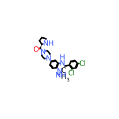 C[C@@H](Nc1cc(N2CCN(C(=O)[C@H]3CCCN3)CC2)ccc1N=N)c1ccc(Cl)cc1Cl